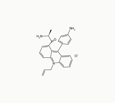 C=CC[n+]1c2ccccc2c(-c2ccc(N)cc2)c2c(C(=O)[C@H](C)N)cccc21.[Cl-]